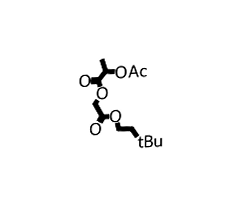 CC(=O)OC(C)C(=O)OCC(=O)OCCC(C)(C)C